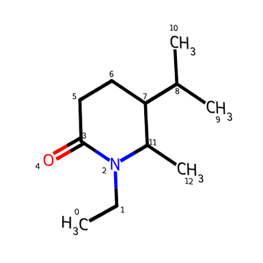 CCN1C(=O)CCC(C(C)C)C1C